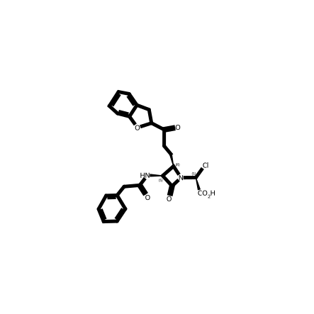 O=C(Cc1ccccc1)N[C@@H]1C(=O)N([C@@H](Cl)C(=O)O)[C@@H]1CCC(=O)C1Cc2ccccc2O1